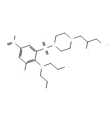 Cc1cc([N+](=O)[O-])cc(S(=O)(=O)N2CCN(CC(O)CO)CC2)c1N(CCBr)CCBr